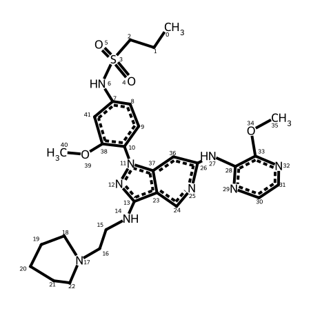 CCCS(=O)(=O)Nc1ccc(-n2nc(NCCN3CCCCC3)c3cnc(Nc4nccnc4OC)cc32)c(OC)c1